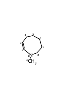 CN1/C=C\CCCCC1